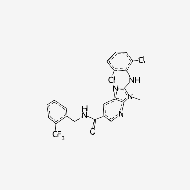 Cn1c(Nc2c(Cl)cccc2Cl)nc2cc(C(=O)NCc3ccccc3C(F)(F)F)cnc21